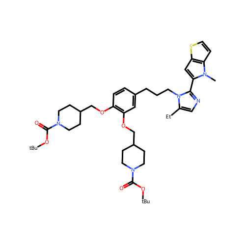 CCc1cnc(-c2cc3sccc3n2C)n1CCCc1ccc(OCC2CCN(C(=O)OC(C)(C)C)CC2)c(OCC2CCN(C(=O)OC(C)(C)C)CC2)c1